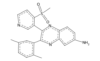 Cc1ccc(C)c(-c2nc3cc(N)ccc3nc2-c2cnccc2S(C)(=O)=O)c1